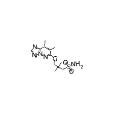 Cc1c(OCC(C)(C)CS(N)(=O)=O)nn2ncnc2c1C